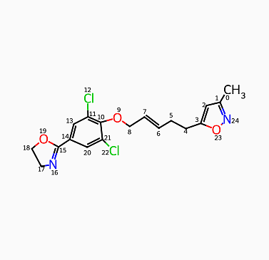 Cc1cc(CC/C=C/COc2c(Cl)cc(C3=NCCO3)cc2Cl)on1